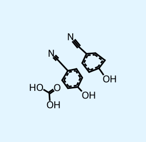 N#Cc1ccc(O)cc1.N#Cc1ccc(O)cc1.O=C(O)O